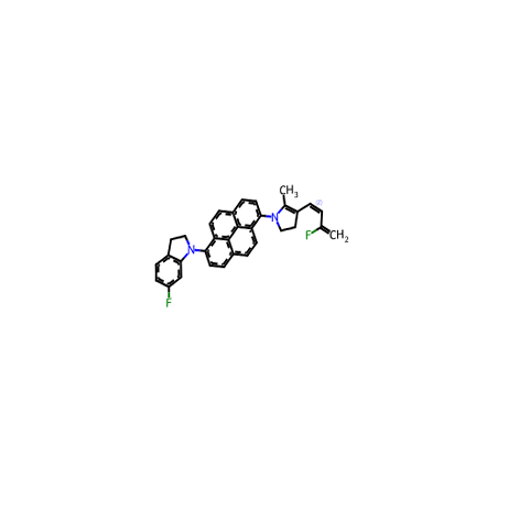 C=C(F)/C=C\C1=C(C)N(c2ccc3ccc4c(N5CCc6ccc(F)cc65)ccc5ccc2c3c54)CC1